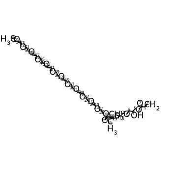 C=CC(=O)OCC(O)COCCSCC(C)(C)C(=O)OCCOCCOCCOCCOCCOCCOCCOCCOCCOCCOCCOCCOC